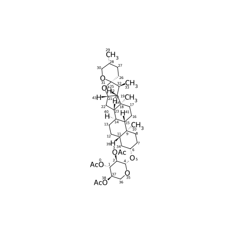 CC(=O)O[C@@H]1[C@@H](OC(C)=O)[C@H](O[C@H]2CC[C@@]3(C)[C@@H](CC[C@@H]4[C@@H]3CC[C@]3(C)[C@@H]5[C@H](C[C@@H]43)O[C@]3(CC[C@@H](C)CO3)[C@H]5C)C2)OC[C@H]1OC(C)=O